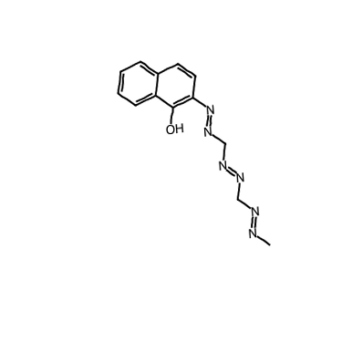 CN=NCN=NCN=Nc1ccc2ccccc2c1O